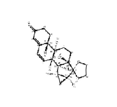 CC[C@]12CC[C@H]3[C@@H](C=CC4=CC(=O)CC[C@@H]43)[C@@H]1[C@@H]1C[C@@H]1[C@@]21CCCO1